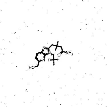 CC(C)(CC(N)=O)Cc1nc2ccc(CO)nc2n1CC(F)(F)F